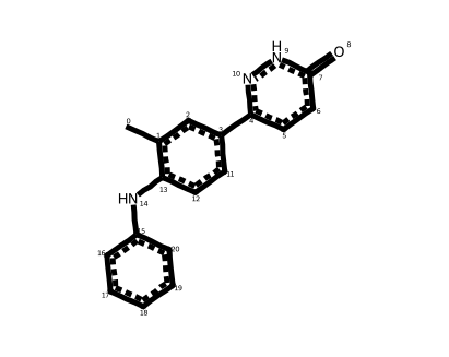 Cc1cc(-c2ccc(=O)[nH]n2)ccc1Nc1ccccc1